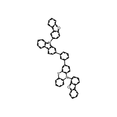 c1cc(-c2ccc3c(c2)Sc2ccccc2N3c2cccc3c2oc2ccccc23)cc(-c2ccc3c4ccccc4n(-c4ccc5oc6ccccc6c5c4)c3c2)c1